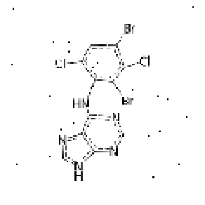 Clc1cc(Br)c(Cl)c(Br)c1Nc1ncnc2[nH]cnc12